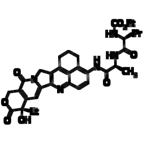 CCOC(=O)N[C@H](C(=O)N[C@@H](C)C(=O)Nc1ccc2nc3c(c4c2c1CCC4)Cn1c-3cc2c(c1=O)COC(=O)[C@]2(O)CC)C(C)C